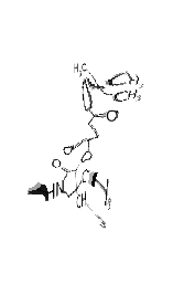 CC(C)(C)OC(=O)/C=C/C(=O)OC1C(=O)NCC1(C)C